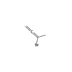 [CH]=C=C(C)Br